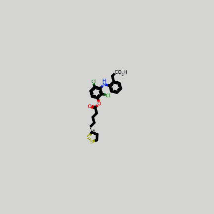 O=C(O)Cc1ccccc1Nc1c(Cl)ccc(OC(=O)CCCC[C@@H]2CCSS2)c1Cl